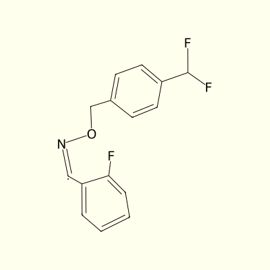 Fc1ccccc1/[C]=N\OCc1ccc(C(F)F)cc1